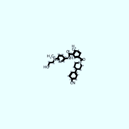 Cc1ccc(C(=O)N2CCC(c3ccc(C#N)cc3)CC2)cc1C(=O)Nc1ccc(N(C)CCO)nc1